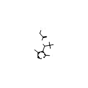 NCC(=O)OC(c1c(Cl)csc1Cl)C(Cl)(Cl)Cl